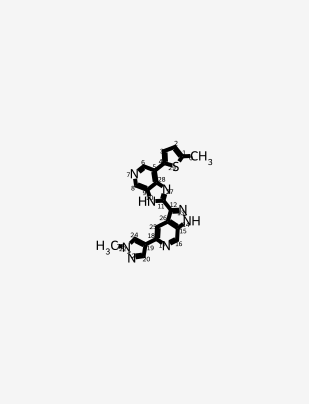 Cc1ccc(-c2cncc3[nH]c(-c4n[nH]c5cnc(-c6cnn(C)c6)cc45)nc23)s1